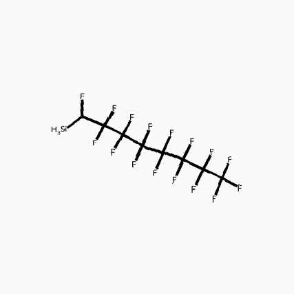 FC([SiH3])C(F)(F)C(F)(F)C(F)(F)C(F)(F)C(F)(F)C(F)(F)C(F)(F)F